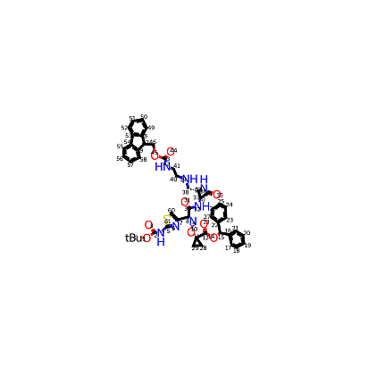 CC(C)(C)OC(=O)Nc1nc(C(=NOC2(C(=O)OC(c3ccccc3)c3ccccc3)CC2)C(=O)N[C@@H]2C(=O)N[C@H]2CNCCNC(=O)OCC2c3ccccc3-c3ccccc32)cs1